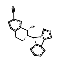 N#Cc1ccc2c(c1)[C@H](O)[C@H]([C@H]1c3ccccc3-c3cncn31)CC2